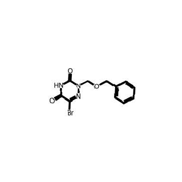 O=c1[nH]c(=O)n(COCc2ccccc2)nc1Br